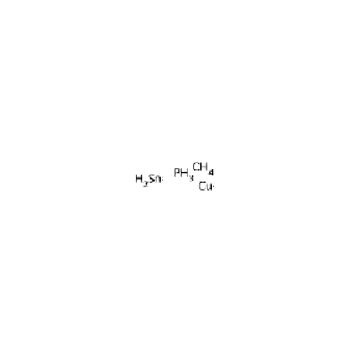 C.P.[Cu].[SnH2]